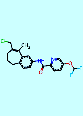 CC1=C(CCl)CCCc2ccc(NC(=O)c3ccc(OC(F)F)cn3)cc21